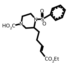 CCOC(=O)/C=C/CCC1CN(C(=O)O)CCN1S(=O)(=O)c1ccccc1